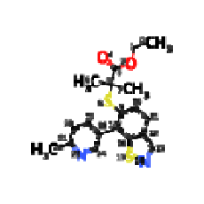 CCOC(=O)C(C)(C)Sc1ccc2cnsc2c1-c1ccc(C)nc1